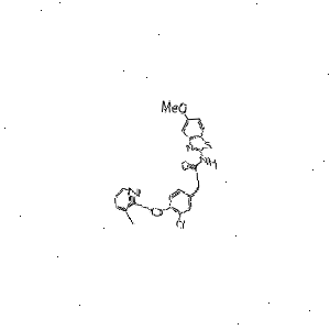 COc1ccc2sc(NC(=O)Cc3ccc(Oc4ncccc4C)c(Cl)c3)nc2c1